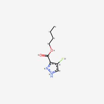 CCCCOC(=O)c1n[nH]cc1F